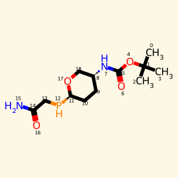 CC(C)(C)OC(=O)N[C@@H]1CC[C@@H](PCC(N)=O)OC1